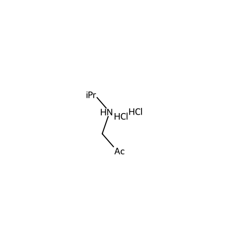 CC(=O)CNC(C)C.Cl.Cl